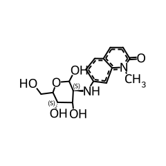 Cn1c(=O)ccc2ccc(N[C@@H]3C(O)OC(CO)[C@@H](O)C3O)cc21